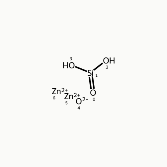 O=[Si](O)O.[O-2].[Zn+2].[Zn+2]